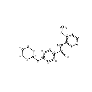 CCc1ccccc1NC(=O)c1ccc(CN2CCOCC2)cc1